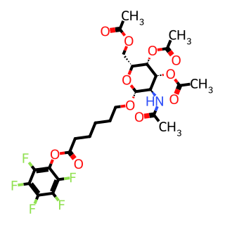 CC(=O)N[C@H]1[C@H](OCCCCCC(=O)Oc2c(F)c(F)c(F)c(F)c2F)O[C@H](COC(C)=O)[C@H](OC(C)=O)[C@@H]1OC(C)=O